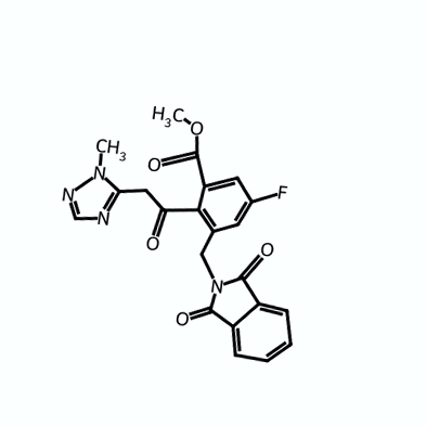 COC(=O)c1cc(F)cc(CN2C(=O)c3ccccc3C2=O)c1C(=O)Cc1ncnn1C